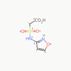 O=C(O)CS(=O)(=O)Nc1ccon1